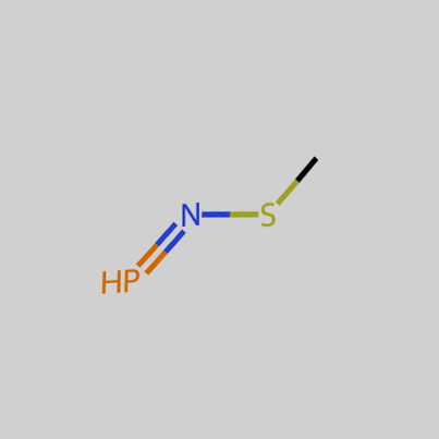 CSN=P